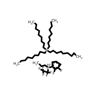 CCCCCCCCC[B-](CCCCCCCCC)(CCCCCCCCC)CCCCCCCCC.CCC[PH+](c1cccc(F)c1F)C(F)(F)C(F)(F)F